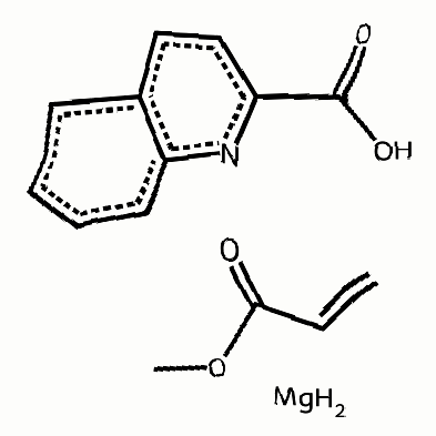 C=CC(=O)OC.O=C(O)c1ccc2ccccc2n1.[MgH2]